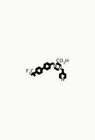 CC(C)(c1ccc(-c2ccc(CN3CCN(Cc4ccncc4)C[C@@H]3C(=O)O)cc2)cc1)C(F)(F)F